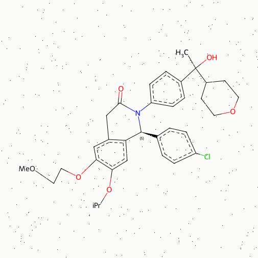 COCCOc1cc2c(cc1OC(C)C)[C@H](c1ccc(Cl)cc1)N(c1ccc(C(C)(O)C3CCOCC3)cc1)C(=O)C2